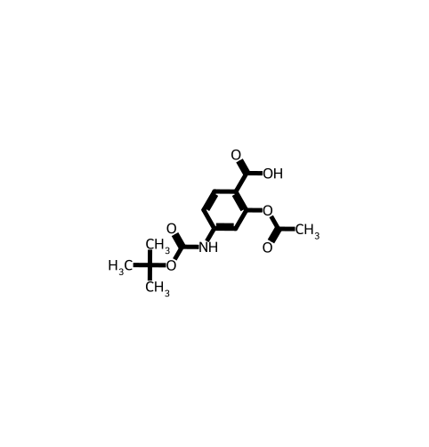 CC(=O)Oc1cc(NC(=O)OC(C)(C)C)ccc1C(=O)O